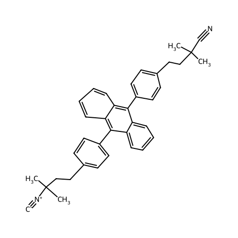 [C-]#[N+]C(C)(C)CCc1ccc(-c2c3ccccc3c(-c3ccc(CCC(C)(C)C#N)cc3)c3ccccc23)cc1